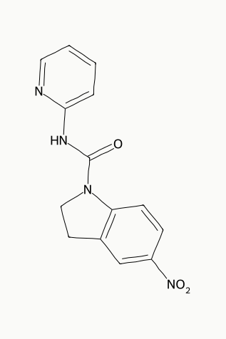 O=C(Nc1ccccn1)N1CCc2cc([N+](=O)[O-])ccc21